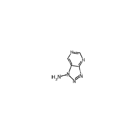 Nn1nnc2ncncc21